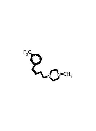 CN1CCN(CC/C=C\c2cccc(C(F)(F)F)c2)CC1